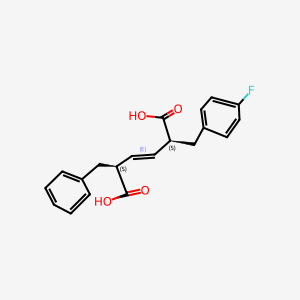 O=C(O)[C@H](/C=C/[C@H](Cc1ccc(F)cc1)C(=O)O)Cc1ccccc1